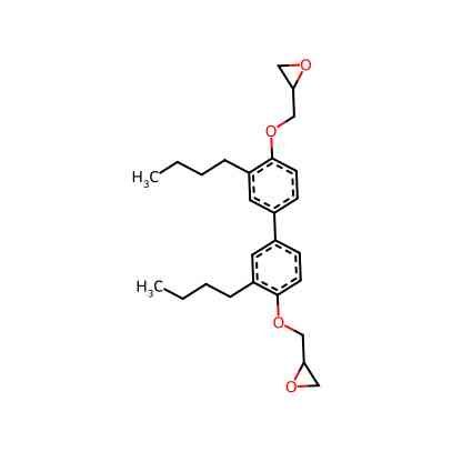 CCCCc1cc(-c2ccc(OCC3CO3)c(CCCC)c2)ccc1OCC1CO1